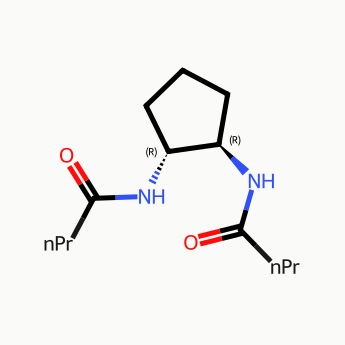 CCCC(=O)N[C@@H]1CCC[C@H]1NC(=O)CCC